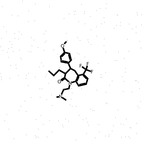 CCCC1C(=O)N(CCN(C)C)c2cccc(C(F)(F)F)c2CC1c1ccc(OC)cc1